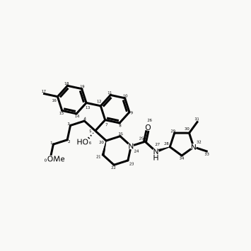 COCCCC[C@@](O)(c1ccccc1-c1ccc(C)cc1)[C@@H]1CCCN(C(=O)N[C@H]2CC(C)N(C)C2)C1